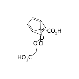 O=C(O)COOC1(C(=O)O)C2=CC=C1C(Cl)=C2